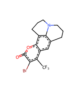 O=c1oc2c3c4c(cc2c(C(F)(F)F)c1Br)CCCN4CCC3